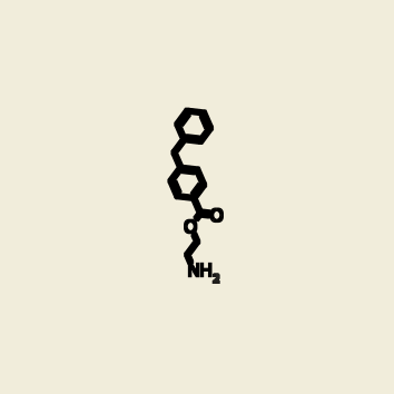 NCCOC(=O)c1ccc(Cc2ccccc2)cc1